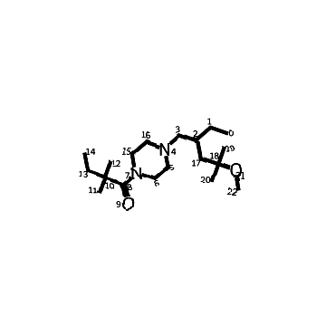 CCC(CN1CCN(C(=O)C(C)(C)CC)CC1)CC(C)(C)OC